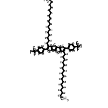 CCCCCCCCCCCCCCCCCc1c(-c2ccc(C(F)(F)F)cc2)sc2c1sc1c3sc(-c4ccc(C(F)(F)F)cc4)c(CCCCCCCCCCCCCCCCC)c3sc21